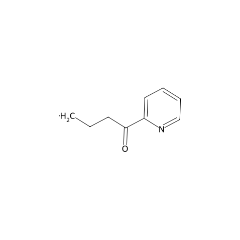 [CH2]CCC(=O)c1ccccn1